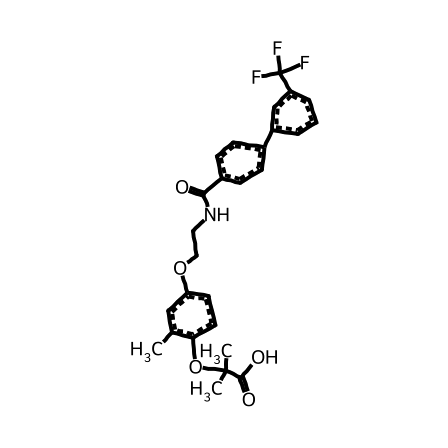 Cc1cc(OCCNC(=O)c2ccc(-c3cccc(C(F)(F)F)c3)cc2)ccc1OC(C)(C)C(=O)O